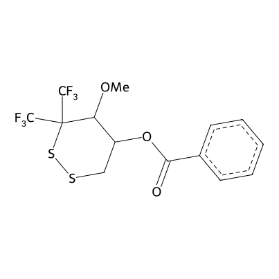 COC1C(OC(=O)c2ccccc2)CSSC1(C(F)(F)F)C(F)(F)F